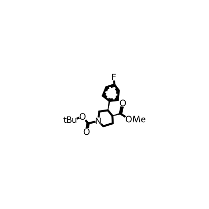 COC(=O)[C@H]1CCN(C(=O)OC(C)(C)C)C[C@H]1c1ccc(F)cc1